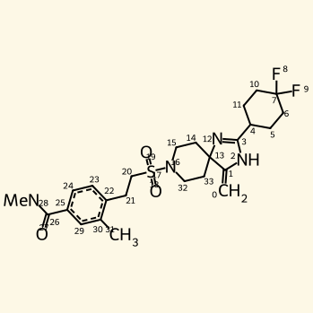 C=C1NC(C2CCC(F)(F)CC2)=NC12CCN(S(=O)(=O)CCc1ccc(C(=O)NC)cc1C)CC2